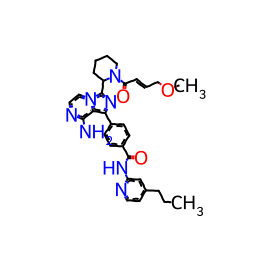 CCCc1ccnc(NC(=O)c2ccc(-c3nc(C4CCCCN4C(=O)/C=C/COC)n4ccnc(N)c34)cc2)c1